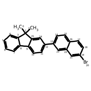 CC1(C)c2ccccc2-c2ccc(-c3ccc4ccc(Br)cc4c3)cc21